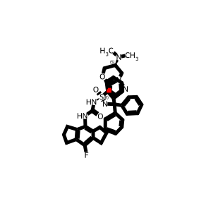 CN(C)[C@@H]1COc2c([S@](=O)(=NC(c3ccccc3)(c3ccccc3)c3ccccc3)NC(=O)Nc3c4c(c(F)c5c3CCC5)CCC4)cnn2C1